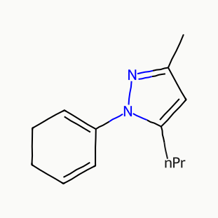 CCCc1cc(C)nn1C1=CCCC=C1